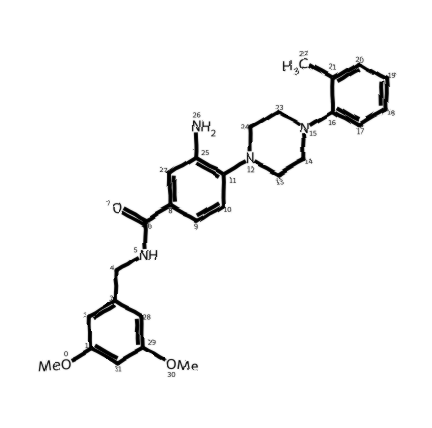 COc1cc(CNC(=O)c2ccc(N3CCN(c4ccccc4C)CC3)c(N)c2)cc(OC)c1